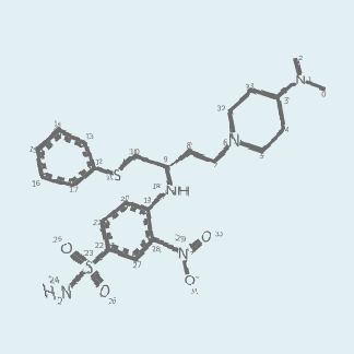 CN(C)C1CCN(CC[C@H](CSc2ccccc2)Nc2ccc(S(N)(=O)=O)cc2[N+](=O)[O-])CC1